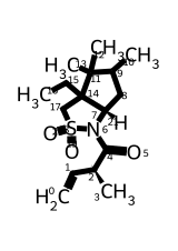 C=C[C@H](C)C(=O)N1[C@H]2CC(C)C(C)(C)C2(CC)CS1(=O)=O